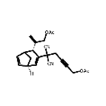 C=C(COC(C)=O)[C@@H]1C(C(C#N)(C#N)CC#CCOC(C)=O)=C[C@H]2C=CC1C2